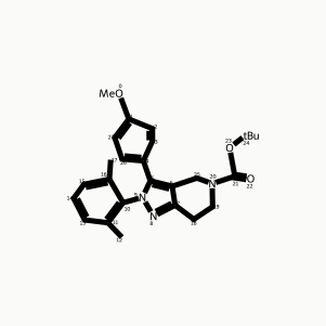 COc1ccc(-c2c3c(nn2-c2c(C)cccc2C)CCN(C(=O)OC(C)(C)C)C3)cc1